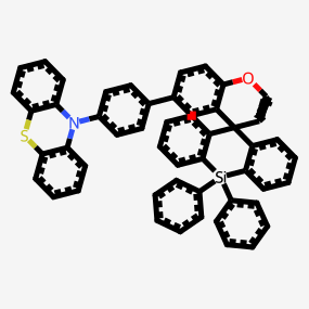 c1ccc([Si]2(c3ccccc3)c3ccccc3C3(c4ccccc4Oc4ccc(-c5ccc(N6c7ccccc7Sc7ccccc76)cc5)cc43)c3ccccc32)cc1